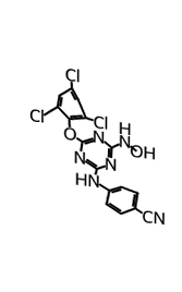 N#Cc1ccc(Nc2nc(NO)nc(Oc3c(Cl)cc(Cl)cc3Cl)n2)cc1